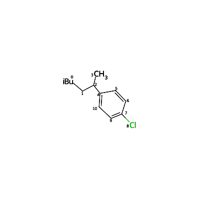 CCC(C)CC(C)c1ccc(Cl)cc1